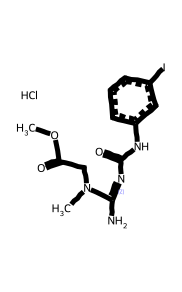 COC(=O)CN(C)/C(N)=N\C(=O)Nc1cccc(I)c1.Cl